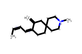 C=C1CC2(CC/C1=C/C=C\C)CCN(C)CC2